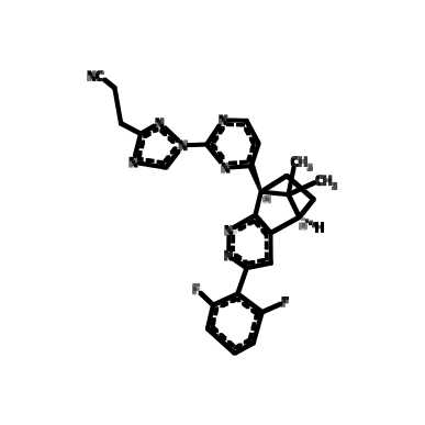 CC1(C)[C@H]2CC[C@@]1(c1ccnc(-n3cnc(CCC#N)n3)n1)c1nnc(-c3c(F)cccc3F)cc12